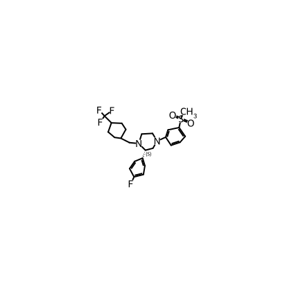 CS(=O)(=O)c1cccc(N2CCN(CC3CCC(C(F)(F)F)CC3)[C@@H](c3ccc(F)cc3)C2)c1